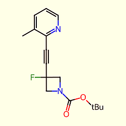 Cc1cccnc1C#CC1(F)CN(C(=O)OC(C)(C)C)C1